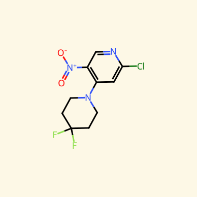 O=[N+]([O-])c1cnc(Cl)cc1N1CCC(F)(F)CC1